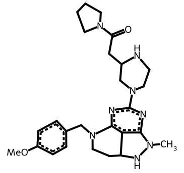 COc1ccc(CN2CCC3NN(C)c4nc(N5CCNC(CC(=O)N6CCCC6)C5)nc2c43)cc1